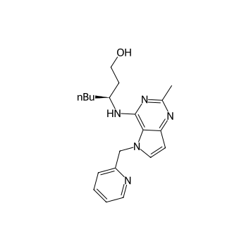 CCCC[C@@H](CCO)Nc1nc(C)nc2ccn(Cc3ccccn3)c12